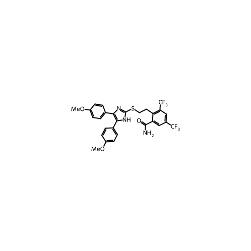 COc1ccc(-c2nc(SCCc3c(C(N)=O)cc(C(F)(F)F)cc3C(F)(F)F)[nH]c2-c2ccc(OC)cc2)cc1